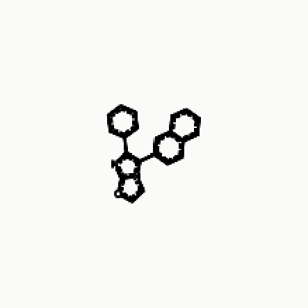 c1ccc(-c2nc3occn3c2-c2ccc3ccccc3c2)cc1